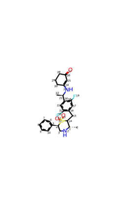 C[C@@H]1NC[C@@H](c2ccccc2)S(=O)(=O)C1Cc1cc(F)c([C@@H](C)NC2=CC(=O)CCC2)cc1F